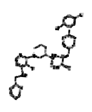 O=C(N[C@@H](Cc1ccc(-c2cc(Cl)ccc2Cl)cc1)C(=O)O)C1CCCN(c2ncnc(NCc3ccccn3)c2F)C1